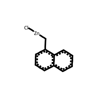 [Cl][Zn][CH2]c1cccc2ccccc12